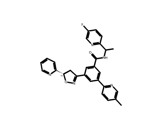 Cc1ccc(-c2cc(C(=O)NC(C)c3ccc(F)cn3)cc(C3=NO[C@H](c4ccccn4)C3)c2)nc1